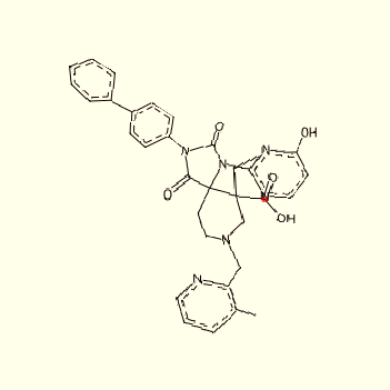 CCC1(C(=O)O)CN(Cc2ncccc2C)CCC12C(=O)N(c1ccc(-c3ccccc3)cc1)C(=O)N2c1nccc(O)n1